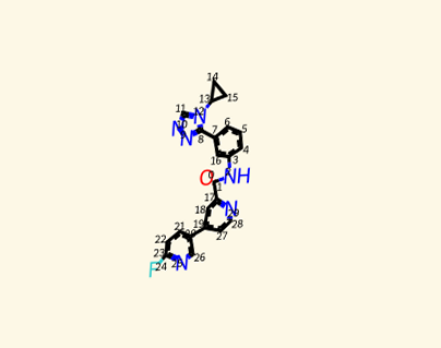 O=C(Nc1cccc(-c2nncn2C2CC2)c1)c1cc(-c2ccc(F)nc2)ccn1